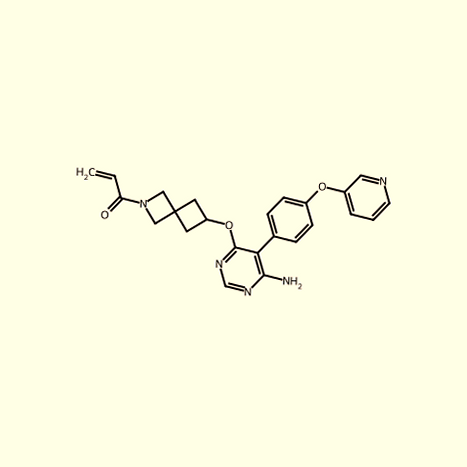 C=CC(=O)N1CC2(CC(Oc3ncnc(N)c3-c3ccc(Oc4cccnc4)cc3)C2)C1